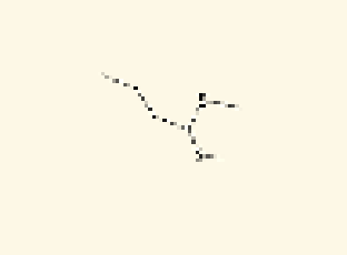 CCC[C](SC)SC